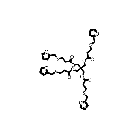 O=C(CCSCc1ccco1)OCC(COC(=O)CCSCc1ccco1)(COC(=O)CCSCc1ccco1)COC(=O)CCSCc1ccco1